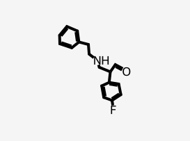 O=CC(CNCCc1ccccc1)c1ccc(F)cc1